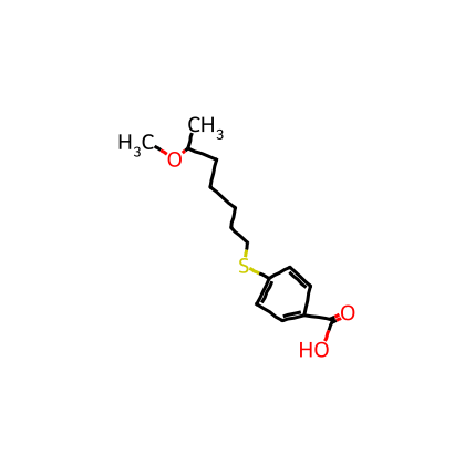 COC(C)CCCCCSc1ccc(C(=O)O)cc1